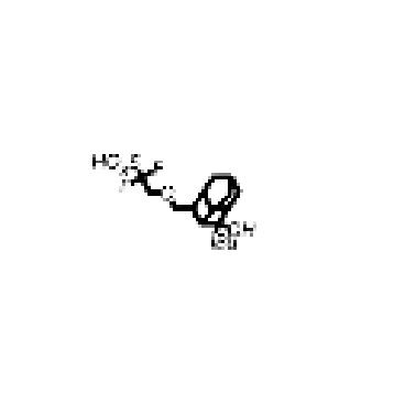 CCC(C)C1(O)C2CC3CC(C2)C(COCC(F)(F)S(=O)(=O)O)C1C3